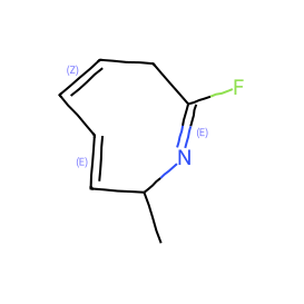 CC1/C=C/C=C\C/C(F)=N\1